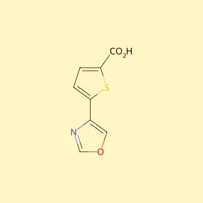 O=C(O)c1ccc(-c2cocn2)s1